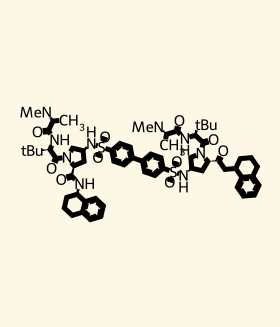 CN[C@@H](C)C(=O)N[C@H](C(=O)N1C[C@@H](NS(=O)(=O)c2ccc(-c3ccc(S(=O)(=O)N[C@H]4C[C@@H](C(=O)N[C@@H]5CCCc6ccccc65)N(C(=O)[C@@H](NC(=O)[C@H](C)NC)C(C)(C)C)C4)cc3)cc2)C[C@H]1C(=O)CC1CCCc2ccccc21)C(C)(C)C